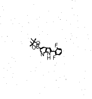 CC1(C)OB(c2cnc3[nH]c(-c4c(F)cccc4F)cc3c2)OC1(C)C